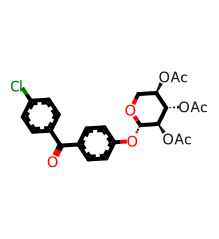 CC(=O)O[C@@H]1[C@@H](OC(C)=O)[C@H](Oc2ccc(C(=O)c3ccc(Cl)cc3)cc2)OC[C@H]1OC(C)=O